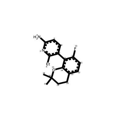 CCc1nc(N)ccc1-c1c(F)ccc2c1OC(C)(C)CC2